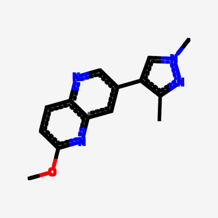 COc1ccc2ncc(-c3cn(C)nc3C)cc2n1